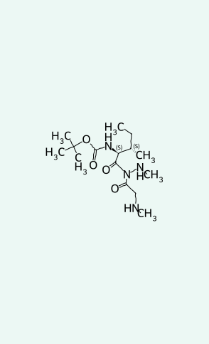 CC[C@H](C)[C@H](NC(=O)OC(C)(C)C)C(=O)N(NC)C(=O)CNC